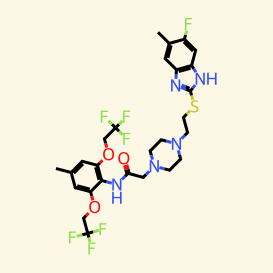 Cc1cc(OCC(F)(F)F)c(NC(=O)CN2CCN(CCSc3nc4cc(C)c(F)cc4[nH]3)CC2)c(OCC(F)(F)F)c1